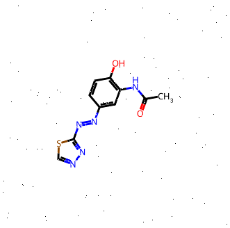 CC(=O)Nc1cc(/N=N/c2nncs2)ccc1O